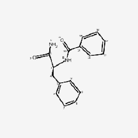 NC(=O)[C@H](Cc1ccccc1)NC(=O)c1ccccc1